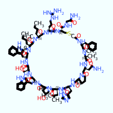 CCCC[C@H]1C(=O)N(C)[C@@H](CCCC)C(=O)N[C@@H](CCCNC(=N)N)C(=O)N[C@H](C(=O)NCC(N)=O)CSCC(=O)N[C@@H](Cc2ccccc2)C(=O)N(C)[C@@H](C)C(=O)N[C@@H](CC(N)=O)C(=O)N2CCC[C@H]2C(=O)N[C@@H](Cc2cnc[nH]2)C(=O)N[C@@H](CC(C)C)C(=O)N2C[C@@H](O)C[C@H]2C(=O)N[C@@H](Cc2c[nH]c3ccccc23)C(=O)N[C@@H](CO)C(=O)N[C@@H](Cc2c[nH]c3ccccc23)C(=O)N1C